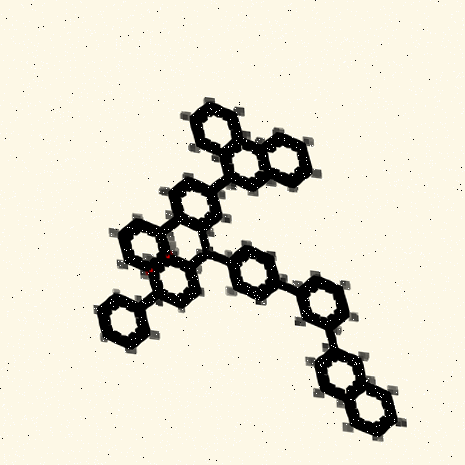 c1ccc(-c2ccc(N(c3ccc(-c4cccc(-c5ccc6ccccc6c5)c4)cc3)c3cc(-c4cc5ccccc5c5ccccc45)ccc3-c3ccccc3)cc2)cc1